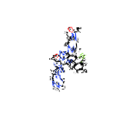 C=CC(=O)N1C[C@H](C)N(c2nc(=O)n(-c3c(C4CC4)nc(N4CCN(C)CC4)nc3C3CC3)c3nc(-c4ccccc4F)c(F)cc23)C[C@H]1C